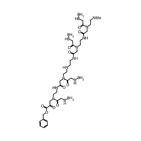 BBCC(=O)N(CCNC)CC(=O)NCCN(CC(=O)NCCNCCN(CC(=O)NCCN(CC(=O)C(=O)OCc1ccccc1)C(=O)CBB)C(=O)CBB)C(=O)CBB